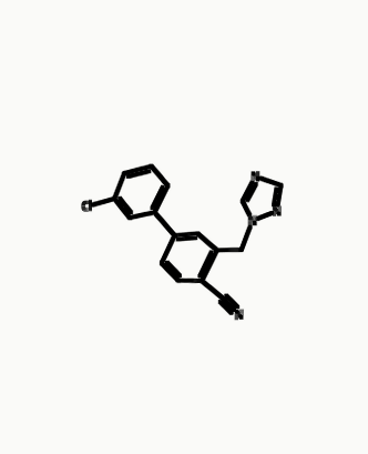 N#Cc1ccc(-c2cccc(Cl)c2)cc1Cn1cncn1